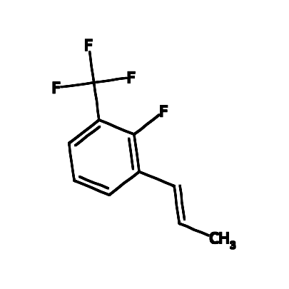 CC=Cc1cccc(C(F)(F)F)c1F